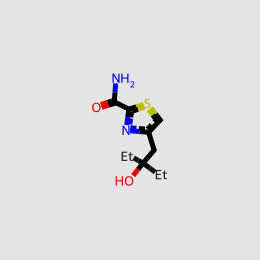 CCC(O)(CC)Cc1csc(C(N)=O)n1